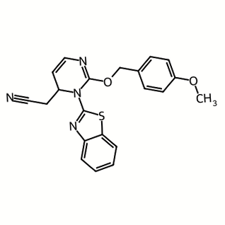 COc1ccc(COC2=NC=CC(CC#N)N2c2nc3ccccc3s2)cc1